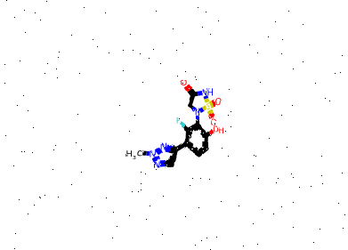 Cn1ncc(-c2ccc(O)c(N3CC(=O)NS3(=O)=O)c2F)n1